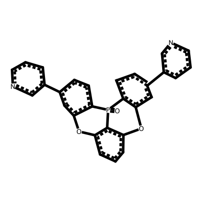 O=P12c3ccc(-c4cccnc4)cc3Oc3cccc(c31)Oc1cc(-c3cccnc3)ccc12